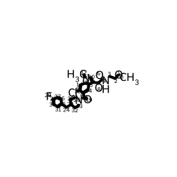 COCCNC(=O)C(=O)c1cn(C)c2cc(Cl)c(C(=O)N3CCC(Cc4ccc(F)cc4)CC3)cc12